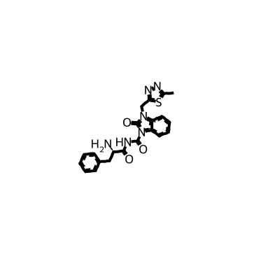 Cc1nnc(Cn2c(=O)n(C(=O)NC(=O)[C@@H](N)Cc3ccccc3)c3ccccc32)s1